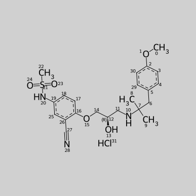 COc1ccc(CC(C)(C)NC[C@@H](O)COc2ccc(NS(C)(=O)=O)cc2C#N)cc1.Cl